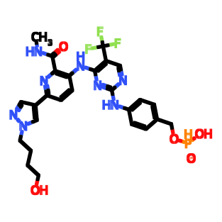 CNC(=O)c1nc(-c2cnn(CCCCO)c2)ccc1Nc1nc(Nc2ccc(CO[PH](=O)O)cc2)ncc1C(F)(F)F